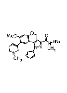 COc1cc2c(cc1C1=CCCN(C)C1)-c1c(c(C(=O)N(C)C(C)(C)C)nn1-c1ccsc1)CO2